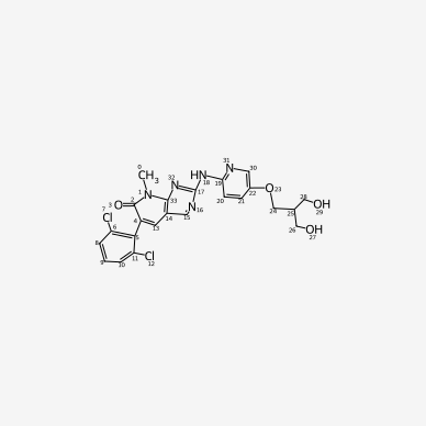 Cn1c(=O)c(-c2c(Cl)cccc2Cl)cc2cnc(Nc3ccc(OCC(CO)CO)cn3)nc21